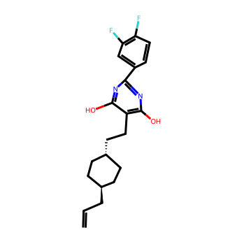 C=CC[C@H]1CC[C@H](CCc2c(O)nc(-c3ccc(F)c(F)c3)nc2O)CC1